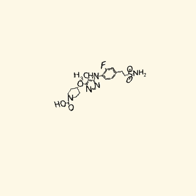 Cc1c(Nc2ccc(CCS(N)(=O)=O)cc2F)ncnc1OC1CCN(C(=O)O)CC1